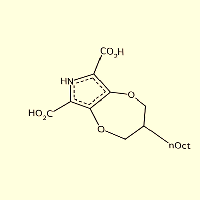 CCCCCCCCC1COc2c(C(=O)O)[nH]c(C(=O)O)c2OC1